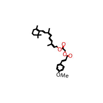 COc1ccc(C=CC(=O)OCC(=O)OCC=C(C)C=CC=C(C)C=CC2=C(C)CCCC2(C)C)cc1